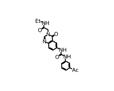 CCNC(=O)Cn1cnc2ccc(NC(=O)Nc3cccc(C(C)=O)c3)cc2c1=O